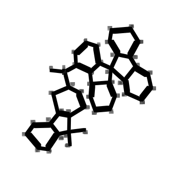 CN(c1cccc2c1-c1ccccc1C21c2ccccc2-c2ccccc21)C1C=CC2=C(C1)c1ccccc1C2(C)C